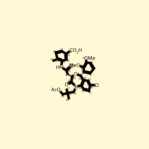 COc1cccc([C@H]2O[C@H](CC(=O)Nc3cc(C(=O)O)ccc3C)C(=O)N(CC(C)(C)COC(C)=O)c3ccc(Cl)cc32)c1OC